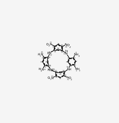 Nc1cc(N)c2cc1Nc1cc(c([N+](=O)[O-])cc1[N+](=O)[O-])Nc1cc(c(N)cc1N)Nc1cc(c([N+](=O)[O-])cc1[N+](=O)[O-])N2